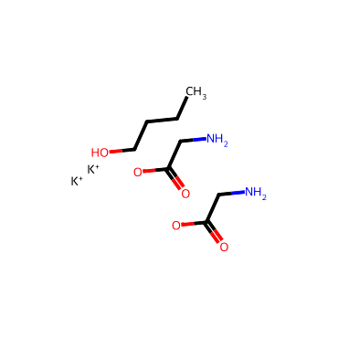 CCCCO.NCC(=O)[O-].NCC(=O)[O-].[K+].[K+]